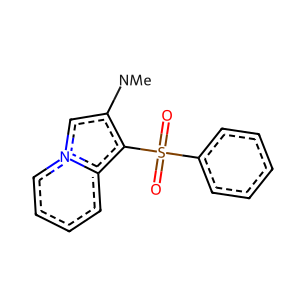 CNc1cn2ccccc2c1S(=O)(=O)c1ccccc1